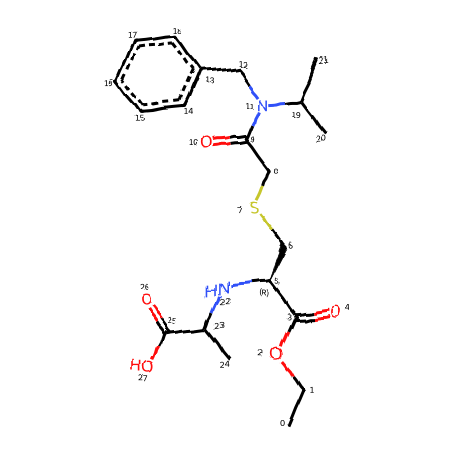 CCOC(=O)[C@H](CSCC(=O)N(Cc1ccccc1)C(C)C)NC(C)C(=O)O